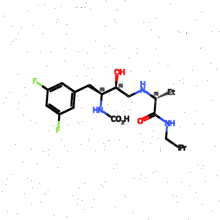 CC[C@@H](NC[C@H](O)[C@H](Cc1cc(F)cc(F)c1)NC(=O)O)C(=O)NCC(C)C